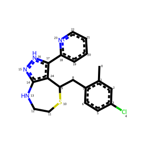 Cc1cc(Cl)ccc1CC1SCCNc2n[nH]c(-c3ccccn3)c21